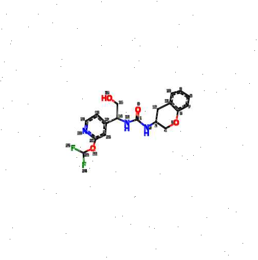 O=C(NC1COc2ccccc2C1)NC(CO)c1ccnc(OC(F)F)c1